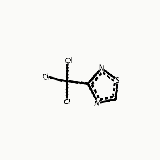 ClC(Cl)(Cl)c1ncsn1